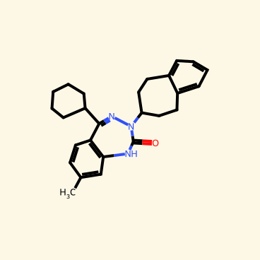 Cc1ccc2c(c1)NC(=O)N(C1CCc3ccccc3CC1)N=C2C1CCCCC1